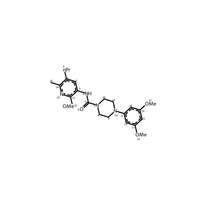 CCCc1cc(NC(=O)N2CCN(c3cc(OC)cc(OC)c3)CC2)c(OC)nc1C